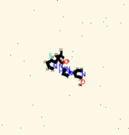 COc1cc(-n2ccc(NC(=O)C3(c4ncccc4F)CC3(C)C)n2)ccn1